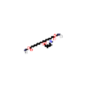 CC/C=C\COC(=O)CCCCCCCC(CCCCCCCC(=O)OC/C=C\CC)OC(=O)CC(C)(C)CC(C)CN(C)C